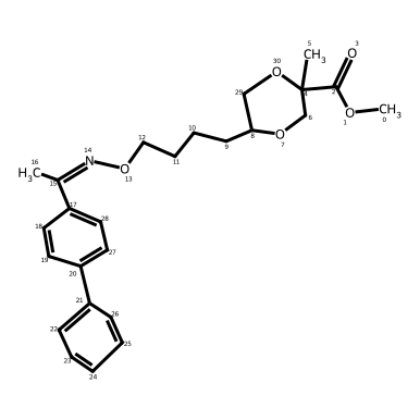 COC(=O)C1(C)COC(CCCCON=C(C)c2ccc(-c3ccccc3)cc2)CO1